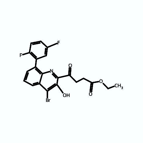 CCOC(=O)CCC(=O)c1nc2c(-c3cc(F)ccc3F)cccc2c(Br)c1O